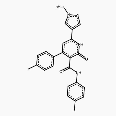 CCCCCCn1cc(-c2cc(-c3ccc(C)cc3)c(C(=O)Nc3ccc(C)cc3)c(=O)[nH]2)cn1